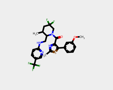 COc1cccc(-c2sc(C)nc2C(=O)N2CC(F)(F)CC(C)C2CNc2ccc(C(F)(F)F)cn2)c1